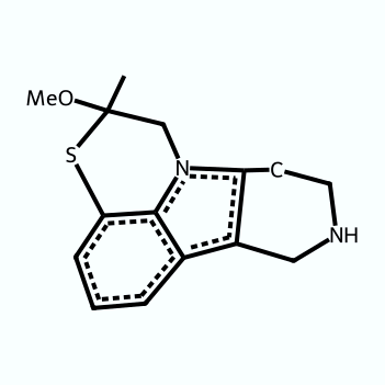 COC1(C)Cn2c3c(c4cccc(c42)S1)CNCC3